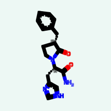 NC(=O)[C@H](Cc1c[nH]cn1)N1CC[C@H](Cc2ccccc2)C1=O